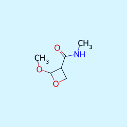 CNC(=O)C1COC1OC